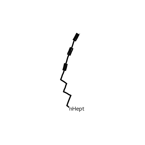 [C]#CC#CC#CCCCCCCCCCCCC